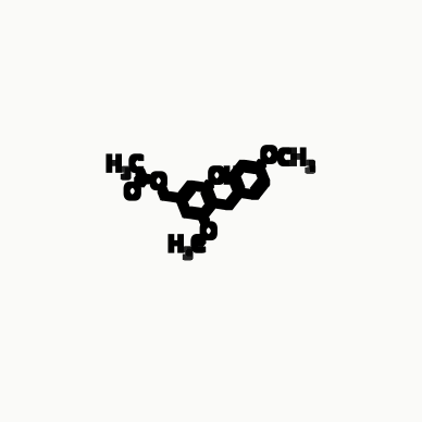 COc1ccc(Cc2c(O)cc(COC(C)=O)cc2OC)cc1